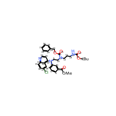 COC(=O)c1cccc(N(CCN(CCCNC(=O)OC(C)(C)C)C(=O)OCc2ccccc2)c2ccnc3ccc(Cl)cc23)c1